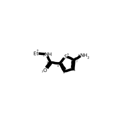 CCNC(=O)c1ccc(N)s1